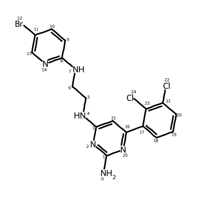 Nc1nc(NCCNc2ccc(Br)cn2)cc(-c2cccc(Cl)c2Cl)n1